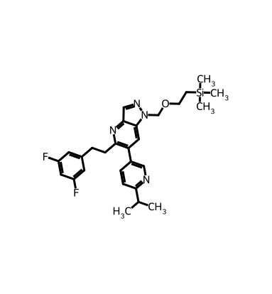 CC(C)c1ccc(-c2cc3c(cnn3COCC[Si](C)(C)C)nc2CCc2cc(F)cc(F)c2)cn1